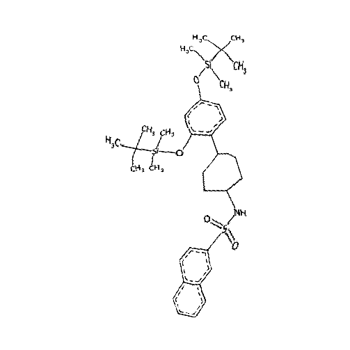 CC(C)(C)[Si](C)(C)Oc1ccc(C2CCC(NS(=O)(=O)c3ccc4ccccc4c3)CC2)c(O[Si](C)(C)C(C)(C)C)c1